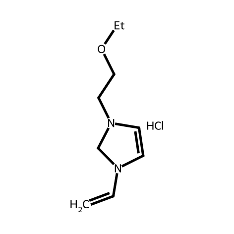 C=CN1C=CN(CCOCC)C1.Cl